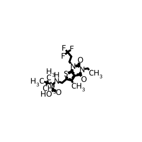 CCn1c(=O)c2c(C)c(CNN(C(=O)O)C(C)(C)C)sc2n(CCC(F)(F)F)c1=O